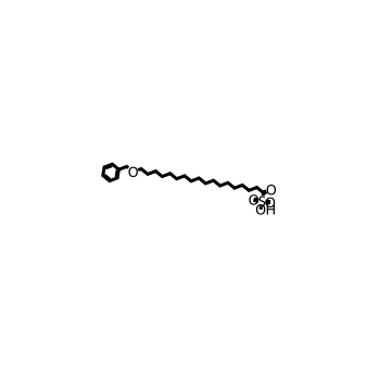 O=C(CCCCCCCCCCCCCCCCCOCc1ccccc1)S(=O)(=O)O